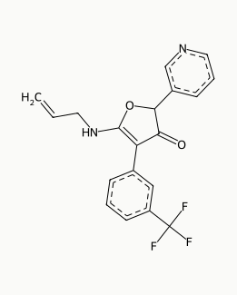 C=CCNC1=C(c2cccc(C(F)(F)F)c2)C(=O)C(c2cccnc2)O1